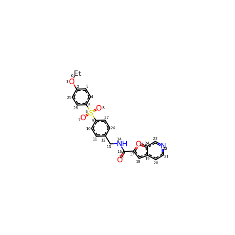 CCOc1ccc(S(=O)(=O)c2ccc(CNC(=O)c3cc4ccncc4o3)cc2)cc1